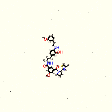 COc1cccc(CCNc2ccc(CC[C@H](C)NC(=O)c3cc(OC)cc(C(=O)N4CCC[C@@H]4c4nc(C)cs4)c3)cc2O)c1